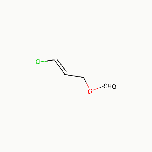 O=COCC=CCl